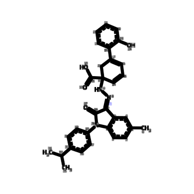 Cc1ccc2c(c1)/C(=N/NC1(C(=O)O)C=CC=C(c3ccccc3O)C1)C(=O)N2c1ccc(C(C)C)cc1